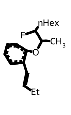 CCC=Cc1ccccc1OC(C)C(F)CCCCCC